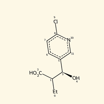 CCC(C(=O)O)[C@H](O)c1ccc(Cl)nc1